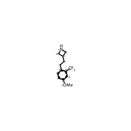 COc1ccc(CCC2CNC2)c(C(F)(F)F)c1